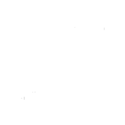 O=COCCCOC(=O)c1ccc(OCCO)cc1